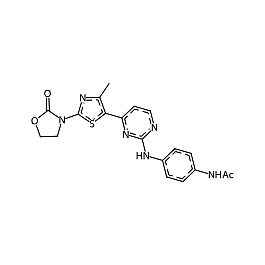 CC(=O)Nc1ccc(Nc2nccc(-c3sc(N4CCOC4=O)nc3C)n2)cc1